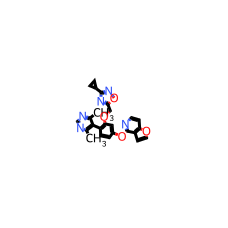 Cc1ncnc(C)c1-c1ccc(Oc2nccc3occc23)cc1OCc1nc(C2CC2)no1